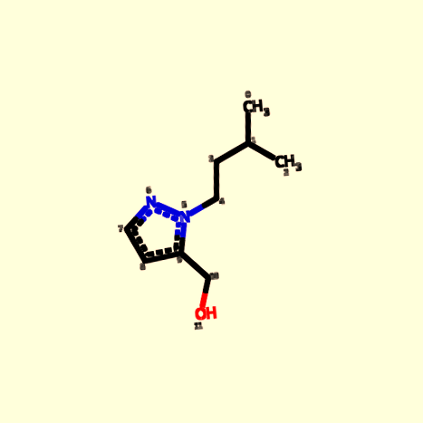 CC(C)CCn1nccc1CO